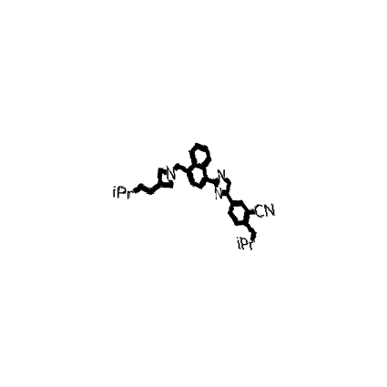 CC(C)CCC1CN(Cc2ccc(C3=NCC(c4ccc(CC(C)C)c(C#N)c4)=N3)c3ccccc23)C1